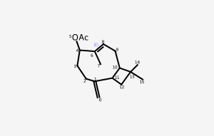 C=C1CCC(OC(C)=O)/C(C)=C/CC2C1CC2(C)C